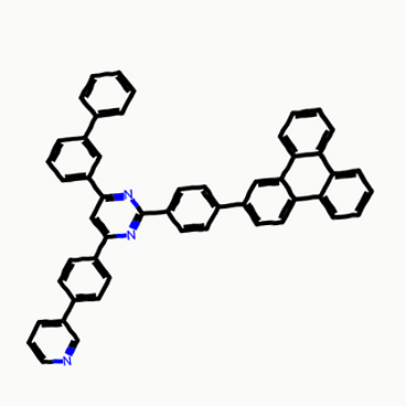 c1ccc(-c2cccc(-c3cc(-c4ccc(-c5cccnc5)cc4)nc(-c4ccc(-c5ccc6c7ccccc7c7ccccc7c6c5)cc4)n3)c2)cc1